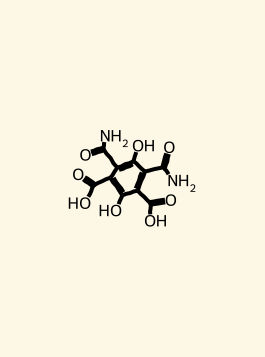 NC(=O)c1c(O)c(C(N)=O)c(C(=O)O)c(O)c1C(=O)O